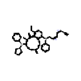 C#C/C=C\C=C/CN(c1ccccc1)c1ccc(C=C)c2c(=C)c(C)c(N(c3ccccc3)C3C=CC=C3)ccc(=C)ccc12